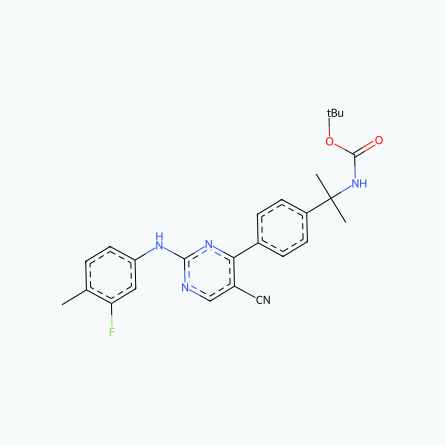 Cc1ccc(Nc2ncc(C#N)c(-c3ccc(C(C)(C)NC(=O)OC(C)(C)C)cc3)n2)cc1F